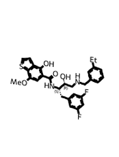 CCc1cccc(CNC[C@@H](O)[C@H](Cc2cc(F)cc(F)c2)NC(=O)c2cc(OC)c3sccc3c2O)c1